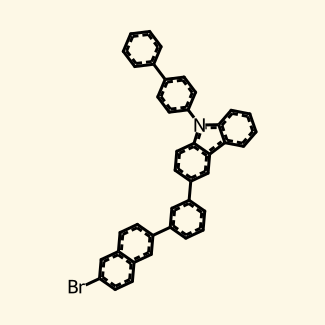 Brc1ccc2cc(-c3cccc(-c4ccc5c(c4)c4ccccc4n5-c4ccc(-c5ccccc5)cc4)c3)ccc2c1